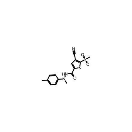 Cc1ccc(N(C)NC(=O)c2cc(C#N)c(S(C)(=O)=O)s2)cc1